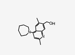 Cc1cc(N2CCCCCC2)c2cc(C)c(CO)cc2n1